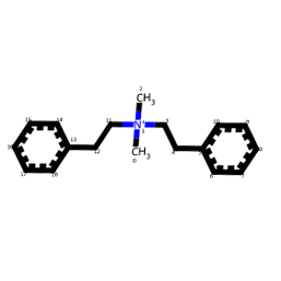 C[N+](C)(CCc1ccccc1)CCc1ccccc1